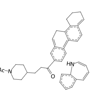 C1=CNc2ccccc2C=C1.CC(=O)N1CCC(CCC(=O)c2ccc3c(c2)=CCc2c4c(ccc2=3)=CCCC4)CC1